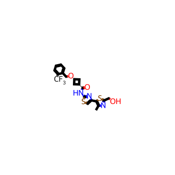 Cc1nc(CO)sc1-c1csc(NC(=O)[C@H]2C[C@@H](OCc3ccccc3C(F)(F)F)C2)n1